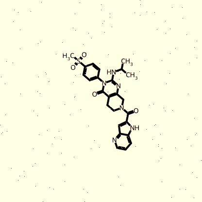 CC(C)Nc1nc2c(c(=O)n1-c1ccc(S(C)(=O)=O)cc1)CCN(C(=O)c1cc3ncccc3[nH]1)C2